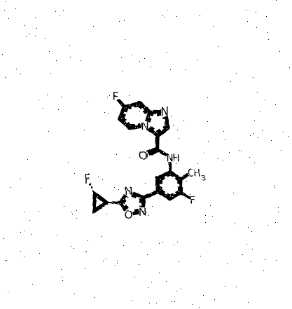 Cc1c(F)cc(-c2noc([C@H]3C[C@@H]3F)n2)cc1NC(=O)c1cnc2cc(F)ccn12